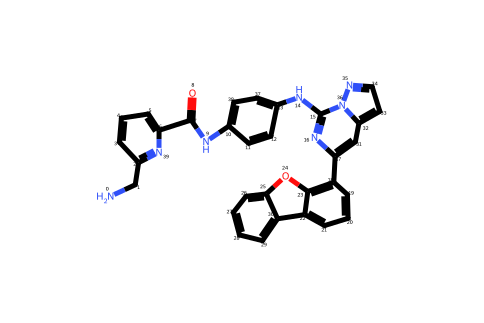 NCc1cccc(C(=O)Nc2ccc(Nc3nc(-c4cccc5c4oc4ccccc45)cc4ccnn34)cc2)n1